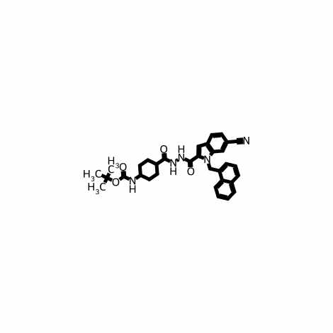 CC(C)(C)OC(=O)NC1CCC(C(=O)NNC(=O)c2cc3ccc(C#N)cc3n2Cc2cccc3ccccc23)CC1